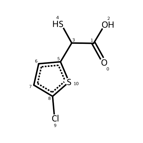 O=C(O)C(S)c1ccc(Cl)s1